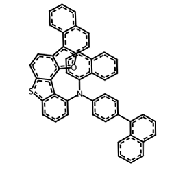 c1ccc2c(-c3ccc(N(c4cccc5ccccc45)c4cccc5sc6ccc7c(oc8ccc9ccccc9c87)c6c45)cc3)cccc2c1